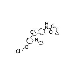 C[C@@H](OC(=O)Nc1ccc(-c2c(C#N)c3ccc(OCCCl)cc3n2C2CCC2)cc1)C1CC1